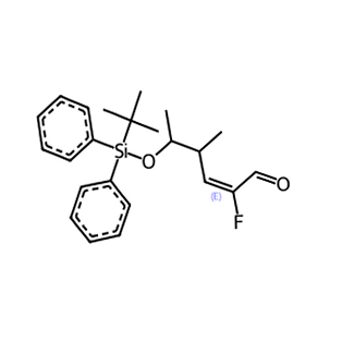 CC(/C=C(/F)C=O)C(C)O[Si](c1ccccc1)(c1ccccc1)C(C)(C)C